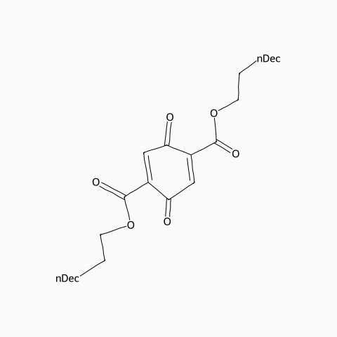 CCCCCCCCCCCCOC(=O)C1=CC(=O)C(C(=O)OCCCCCCCCCCCC)=CC1=O